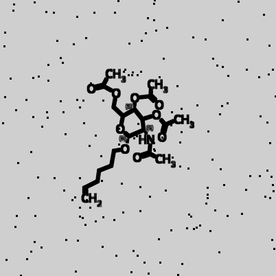 C=CCCCCO[C@@H]1OC(COC(C)=O)[C@@H](OC(C)=O)C(OC(C)=O)[C@@H]1NC(C)=O